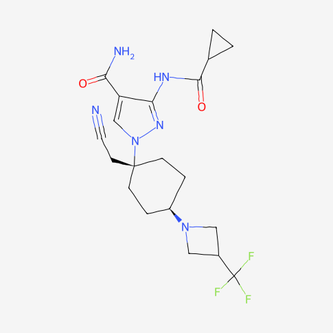 N#CC[C@]1(n2cc(C(N)=O)c(NC(=O)C3CC3)n2)CC[C@H](N2CC(C(F)(F)F)C2)CC1